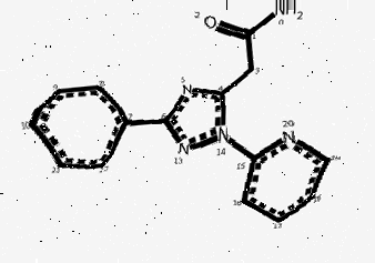 NC(=O)Cc1nc(-c2ccccc2)nn1-c1ccccn1